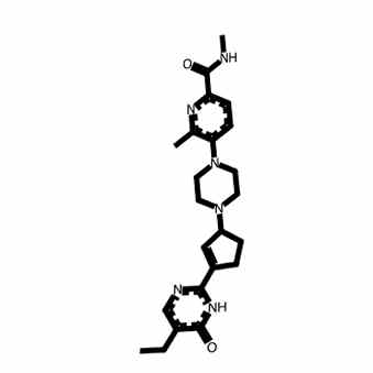 CCc1cnc(C2=CC(N3CCN(c4ccc(C(=O)NC)nc4C)CC3)CC2)[nH]c1=O